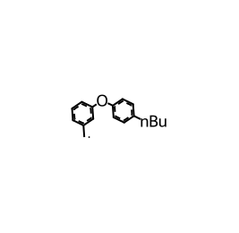 [CH2]c1cccc(Oc2ccc(CCCC)cc2)c1